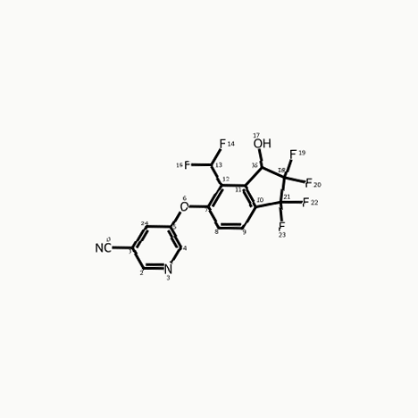 N#Cc1cncc(Oc2ccc3c(c2C(F)F)C(O)C(F)(F)C3(F)F)c1